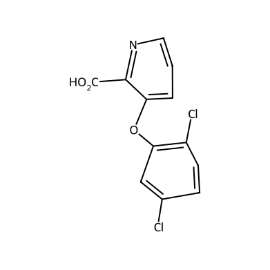 O=C(O)c1ncccc1Oc1cc(Cl)ccc1Cl